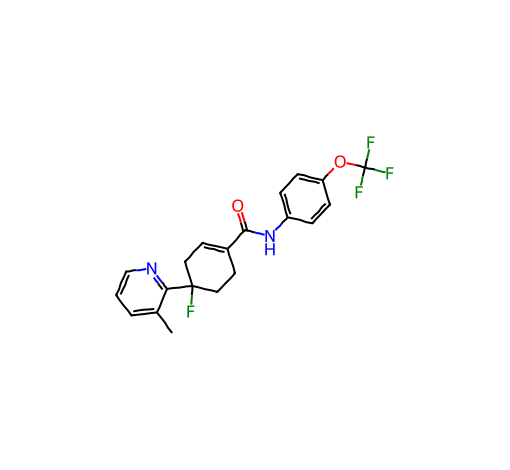 Cc1cccnc1C1(F)CC=C(C(=O)Nc2ccc(OC(F)(F)F)cc2)CC1